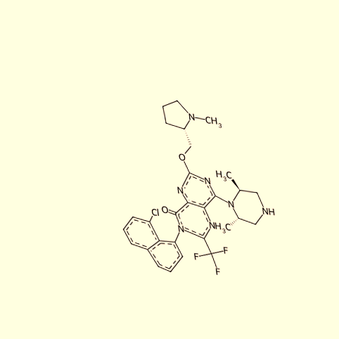 C[C@H]1CNC[C@H](C)N1c1nc(OC[C@@H]2CCCN2C)nc2c(=O)n(-c3cccc4cccc(Cl)c34)c(C(F)(F)F)nc12